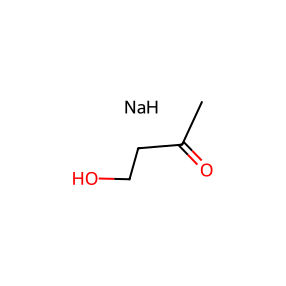 CC(=O)CCO.[NaH]